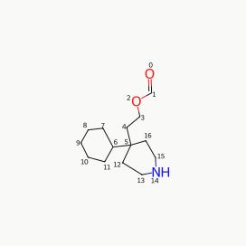 O=COCCC1(C2CCCCC2)CCNCC1